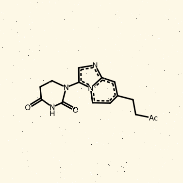 CC(=O)CCc1ccn2c(N3CCC(=O)NC3=O)cnc2c1